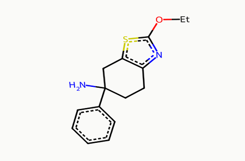 CCOc1nc2c(s1)CC(N)(c1ccccc1)CC2